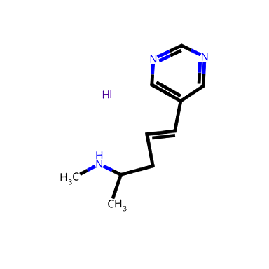 CNC(C)CC=Cc1cncnc1.I